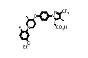 CCOc1ccc(F)c(N2CC[C@@H](Oc3ccc(N4N=C(C(F)(F)F)[C@@H](C)[C@@H]4CC(=O)O)cc3)[C@H](C)C2)c1